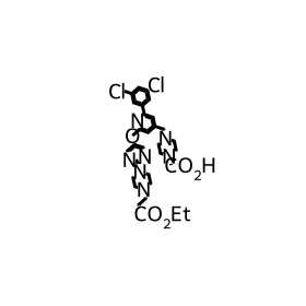 CCOC(=O)CCN1CCN(c2ncc(Oc3cc(CN4CCN(C(=O)O)CC4)cc(-c4cc(Cl)cc(Cl)c4)n3)cn2)CC1